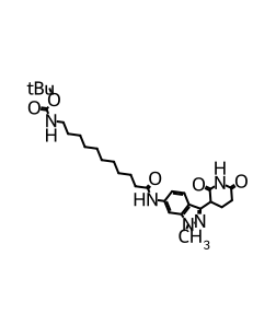 Cn1nc(C2CCC(=O)NC2=O)c2ccc(NC(=O)CCCCCCCCCCNC(=O)OC(C)(C)C)cc21